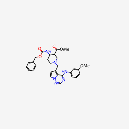 COC(=O)C1CN(Cc2ccn3ncnc(Nc4cccc(OC)c4)c23)CCC1NC(=O)OCc1ccccc1